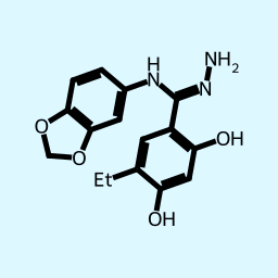 CCc1cc(/C(=N/N)Nc2ccc3c(c2)OCO3)c(O)cc1O